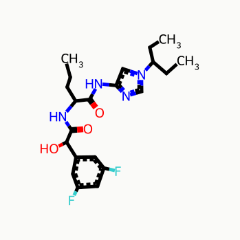 CCCC(NC(=O)C(O)c1cc(F)cc(F)c1)C(=O)Nc1cn(C(CC)CC)cn1